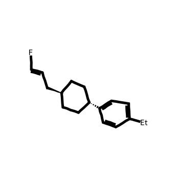 CCc1ccc([C@H]2CC[C@H](CC=CF)CC2)cc1